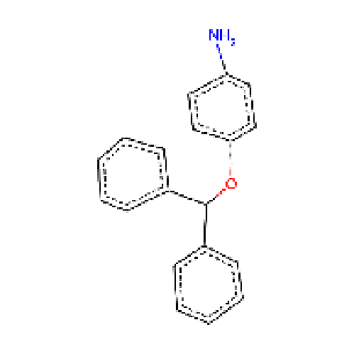 Nc1ccc(OC(c2ccccc2)c2ccccc2)cc1